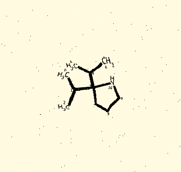 CC(C)C1(C(C)C)CCCN1